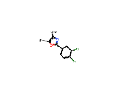 CC(C)c1oc(C2=CC=C(Cl)C(Cl)C2)nc1C=O